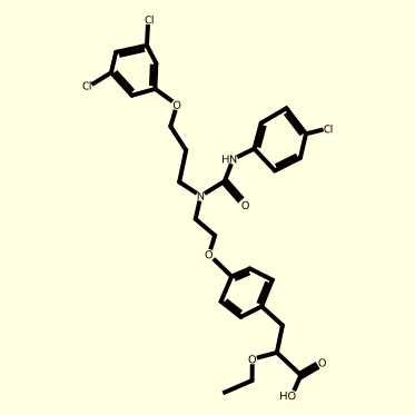 CCOC(Cc1ccc(OCCN(CCCOc2cc(Cl)cc(Cl)c2)C(=O)Nc2ccc(Cl)cc2)cc1)C(=O)O